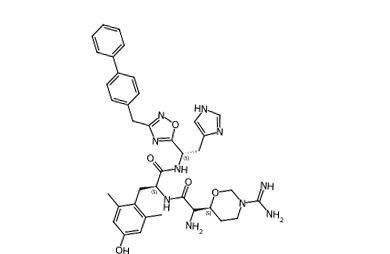 Cc1cc(O)cc(C)c1C[C@H](NC(=O)C(N)[C@@H]1CCN(C(=N)N)CO1)C(=O)N[C@@H](Cc1c[nH]cn1)c1nc(Cc2ccc(-c3ccccc3)cc2)no1